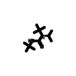 CC(C)[C@H](C(=O)NC(C)(C)C)C(C)(C)C